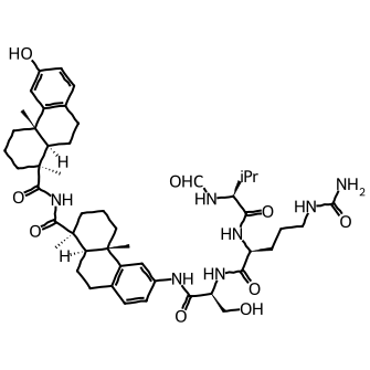 CC(C)[C@H](NC=O)C(=O)N[C@@H](CCCNC(N)=O)C(=O)N[C@@H](CO)C(=O)Nc1ccc2c(c1)[C@@]1(C)CCC[C@](C)(C(=O)NC(=O)[C@@]3(C)CCC[C@]4(C)c5cc(O)ccc5CC[C@@H]34)[C@@H]1CC2